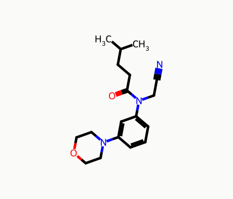 CC(C)CCC(=O)N(CC#N)c1cccc(N2CCOCC2)c1